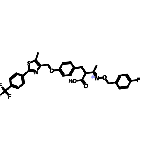 C/C(=N\OCc1ccc(F)cc1)C(Cc1ccc(OCc2nc(-c3ccc(C(F)(F)F)cc3)sc2C)cc1)C(=O)O